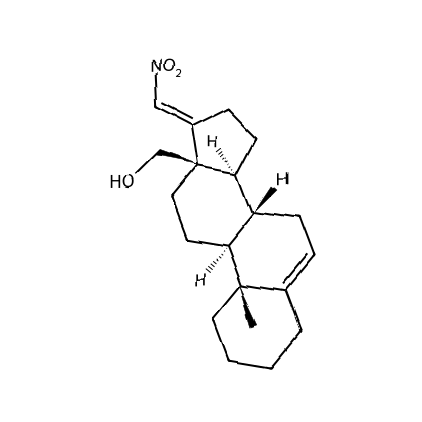 C[C@]12CCCCC1=CC[C@H]1[C@@H]3CCC(=C[N+](=O)[O-])[C@@]3(CO)CC[C@@H]12